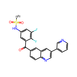 CCCS(=O)(=O)Nc1cc(F)c(F)c(C(=O)c2ccc3ncc(-c4cccnc4)cc3c2)c1